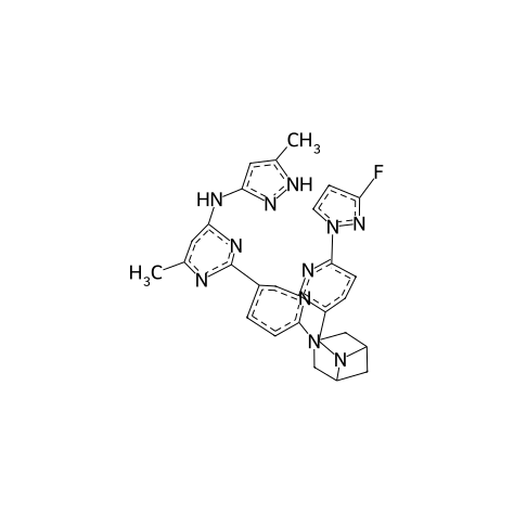 Cc1cc(Nc2cc(C)[nH]n2)nc(-c2ccc(N3CC4CC(C3)N4Cc3ccc(-n4ccc(F)n4)nc3)nc2)n1